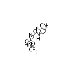 C[C@H](NS(=O)(=O)c1cc(C(=O)Nc2ccc(F)c(C#N)c2F)n(C)c1)C(F)(F)F